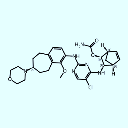 COc1c(Nc2ncc(Cl)c(N[C@H]3[C@@H](OC(N)=O)[C@@H]4C=C[C@H]3C4)n2)ccc2c1CC[C@@H](N1CCOCC1)CC2